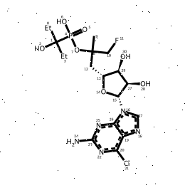 CCC(O)(CC)P(=O)(O)OC(C)(CF)C[C@H]1O[C@@H](n2cnc3c(Cl)nc(N)nc32)[C@H](O)[C@@H]1O